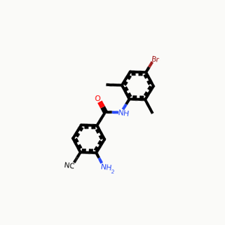 Cc1cc(Br)cc(C)c1NC(=O)c1ccc(C#N)c(N)c1